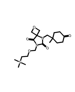 CC1(CN2C(=O)N(COCC[Si](C)(C)C)C(=O)C23COC3)CCC(=O)CC1